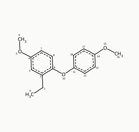 CCc1cc(OC)ccc1Oc1ccc(OC)cc1